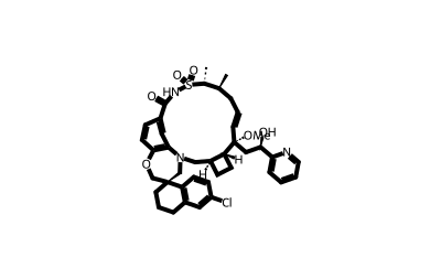 CO[C@@]1(C[C@@H](O)c2ccccn2)/C=C/C[C@H](C)[C@@H](C)S(=O)(=O)NC(=O)c2ccc3c(c2)N(C[C@@H]2CC[C@H]21)C[C@@]1(CCCc2cc(Cl)ccc21)CO3